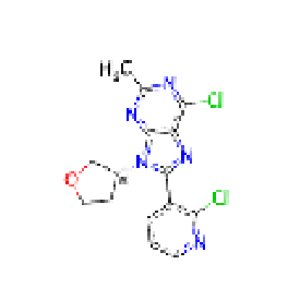 Cc1nc(Cl)c2nc(-c3cccnc3Cl)n([C@@H]3CCOC3)c2n1